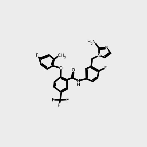 Cc1cc(F)ccc1Oc1ccc(C(F)(F)F)cc1C(=O)Nc1ccc(F)c(Cn2ccnc2N)c1